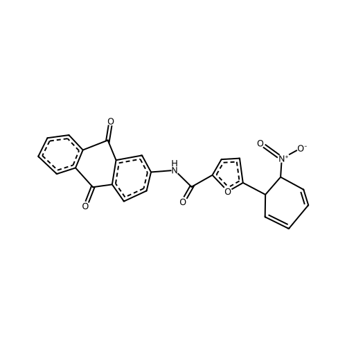 O=C(Nc1ccc2c(c1)C(=O)c1ccccc1C2=O)c1ccc(C2C=CC=CC2[N+](=O)[O-])o1